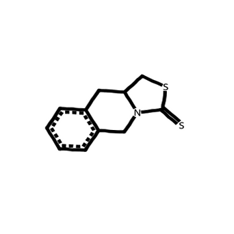 S=C1SCC2Cc3ccccc3CN12